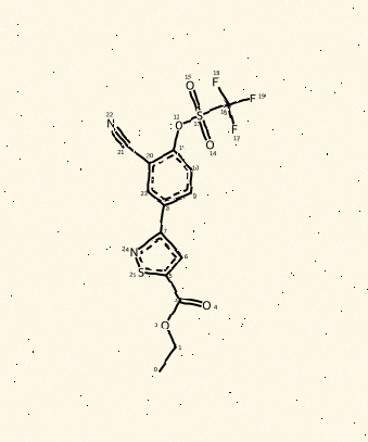 CCOC(=O)c1cc(-c2ccc(OS(=O)(=O)C(F)(F)F)c(C#N)c2)ns1